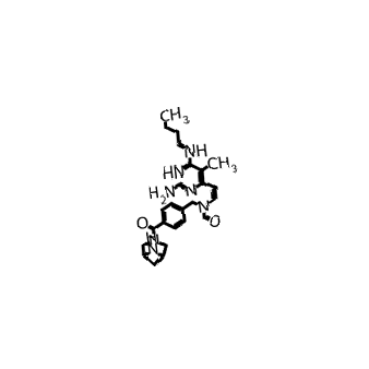 CCCCNC(=N)/C(C)=C(/C=C\N(C=O)Cc1ccc(C(=O)N2CC3CC(C2)N3)cc1)\N=C\N